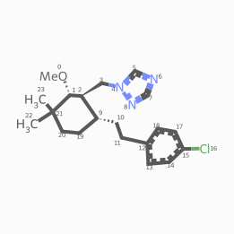 CO[C@@H]1[C@@H](Cn2cncn2)[C@H](CCc2ccc(Cl)cc2)CCC1(C)C